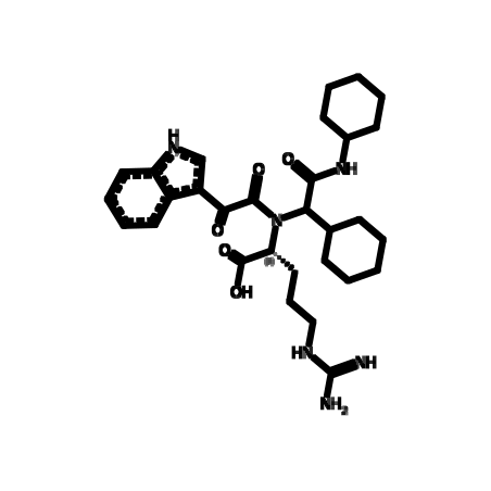 N=C(N)NCCC[C@H](C(=O)O)N(C(=O)C(=O)c1c[nH]c2ccccc12)C(C(=O)NC1CCCCC1)C1CCCCC1